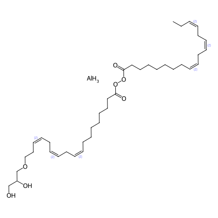 CC/C=C\C/C=C\C/C=C\CCCCCCCC(=O)OOC(=O)CCCCCCC/C=C\C/C=C\C/C=C\CCOCC(O)CO.[AlH3]